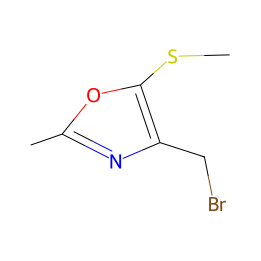 CSc1oc(C)nc1CBr